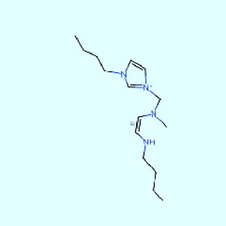 CCCCN/C=C\N(C)C[n+]1ccn(CCCC)c1